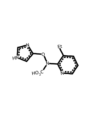 CCc1cccnc1N(Oc1c[nH]cn1)C(=O)O